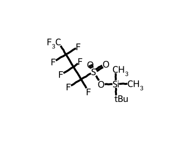 CC(C)(C)[Si](C)(C)OS(=O)(=O)C(F)(F)C(F)(F)C(F)(F)C(F)(F)F